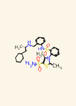 CC1=C(S(N)(=O)=O)SC(C)N1c1ccccc1S(=O)(=O)Nc1ccccc1CN[C@@H](C)CC1CCCCC1